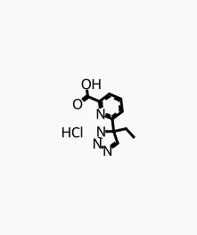 CCC1(c2cccc(C(=O)O)n2)C=NN=N1.Cl